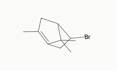 CC1=C2CC(Br)C(C1)C2(C)C